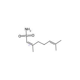 CC(C)=CCC/C(C)=C\S(N)(=O)=O